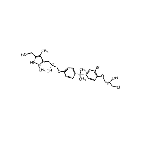 CC1=C(CO)NN(C)N1C[C@@H](O)COc1ccc(C(C)(C)c2ccc(OC[C@@H](O)CCl)c(Br)c2)cc1